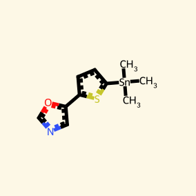 [CH3][Sn]([CH3])([CH3])[c]1ccc(-c2cnco2)s1